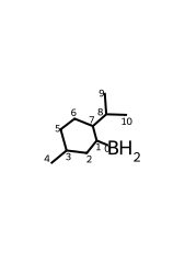 BC1CC(C)CCC1C(C)C